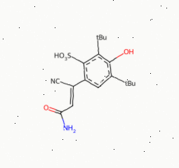 CC(C)(C)c1cc(C(C#N)=CC(N)=O)c(S(=O)(=O)O)c(C(C)(C)C)c1O